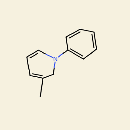 CC1=CC=CN(c2ccccc2)C1